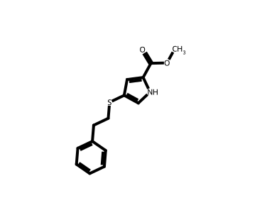 COC(=O)c1cc(SCCc2ccccc2)c[nH]1